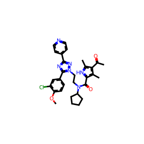 COc1ccc(-c2nc(-c3ccncc3)nn2CCN(C(=O)c2[nH]c(C)c(C(C)=O)c2C)C2CCCC2)cc1Cl